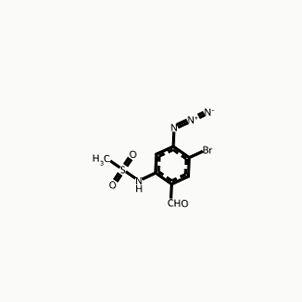 CS(=O)(=O)Nc1cc(N=[N+]=[N-])c(Br)cc1C=O